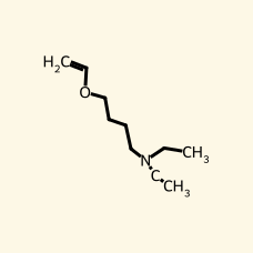 C=COCCCCN(CC)CC